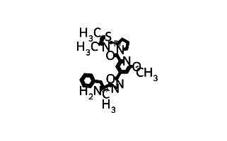 COc1cc(-c2nnc([C@](C)(N)Cc3ccccc3)o2)cc(C(=O)N2CCC[C@@H]2c2nc(C)c(C)s2)n1